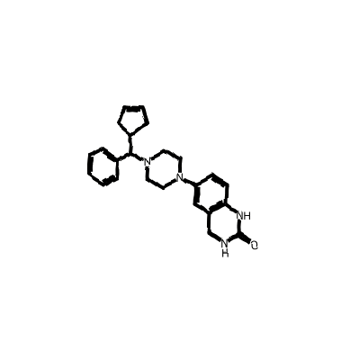 O=C1NCc2cc(N3CCN(C(c4ccccc4)C4CC=CC4)CC3)ccc2N1